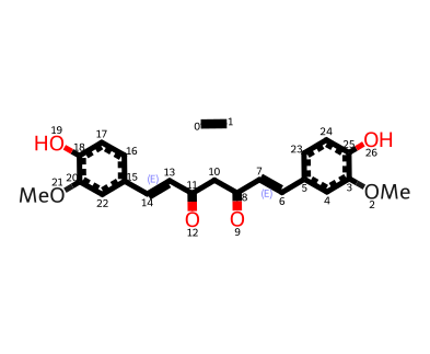 C=C.COc1cc(/C=C/C(=O)CC(=O)/C=C/c2ccc(O)c(OC)c2)ccc1O